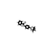 CC1(C)OB(c2ccc(NC(=O)c3ccccc3)cc2)OC1(C)C